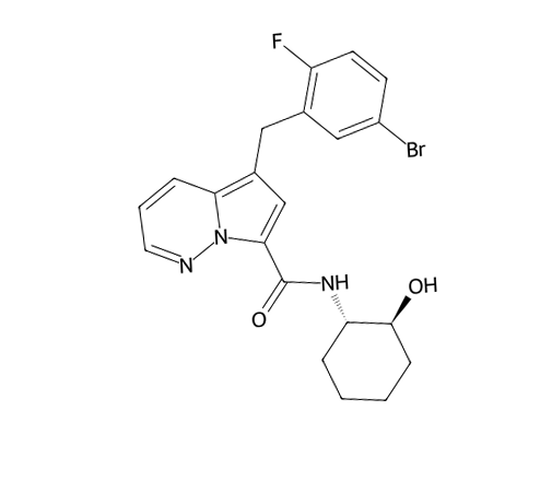 O=C(N[C@H]1CCCC[C@@H]1O)c1cc(Cc2cc(Br)ccc2F)c2cccnn12